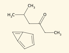 CCC(=O)CC(C)C.c1cc2cc-2c1